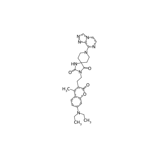 CCN(CC)c1ccc2c(C)c(CCN3C(=O)NC4(CCN(c5nccn6cnnc56)CC4)C3=O)c(=O)oc2c1